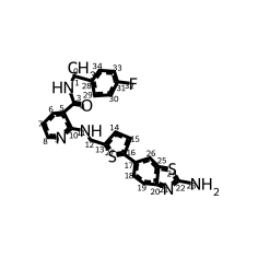 C[C@H](NC(=O)c1cccnc1NCc1ccc(-c2ccc3nc(N)sc3c2)s1)c1ccc(F)cc1